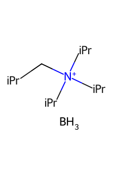 B.CC(C)C[N+](C(C)C)(C(C)C)C(C)C